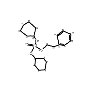 S=P(OC1CCCCC1)(OC1CCCCC1)SCCc1ccccc1